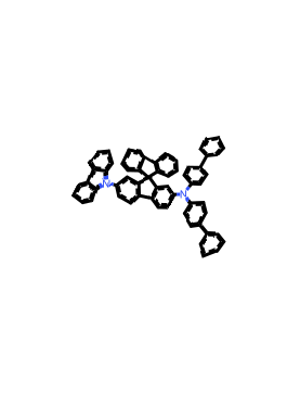 c1ccc(-c2ccc(N(c3ccc(-c4ccccc4)cc3)c3ccc4c(c3)C3(c5ccccc5-c5ccccc53)c3cc(-n5c6ccccc6c6ccccc65)ccc3-4)cc2)cc1